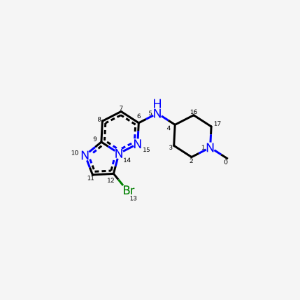 CN1CCC(Nc2ccc3ncc(Br)n3n2)CC1